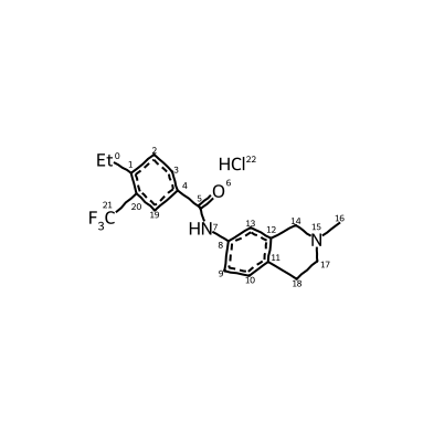 CCc1ccc(C(=O)Nc2ccc3c(c2)CN(C)CC3)cc1C(F)(F)F.Cl